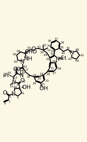 C=CC(=O)N1CC[C@](O)(C(=O)N(C)[C@H](C(=O)N[C@H]2Cc3cc(O)cc(c3)-c3ccc4c(c3)c(c(-c3ccccc3CCN3CCCC3)n4CC)CC(C)(C)COCC3(C=O)CCCN(N3)C2=O)C(C)C)C1